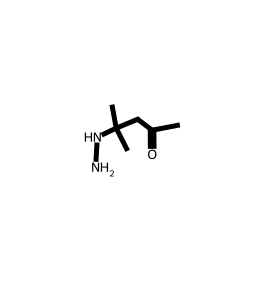 CC(=O)CC(C)(C)NN